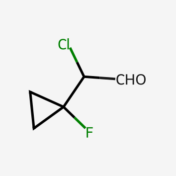 O=CC(Cl)C1(F)CC1